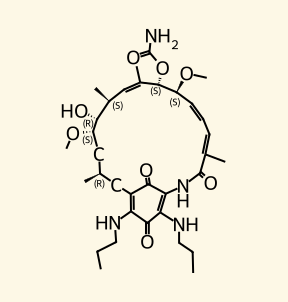 CCCNC1=C2C[C@@H](C)C[C@H](OC)[C@H](O)[C@@H](C)C=C(C)[C@H](OC(N)=O)[C@@H](OC)C=CC=C(C)C(=O)NC(=C(NCCC)C1=O)C2=O